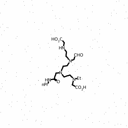 CCCNC(=O)CN(CCN(CC=O)CCNCC(=O)O)CCN(CC)CC(=O)O